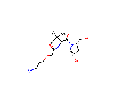 CC(C)(C)[C@H](NC(=O)COCCCN)C(=O)N1C[C@H](O)C[C@H]1CO